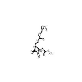 CCSC(=S)S[C@H]1NC(=O)[C@@H]1CCOC(=O)OCC(Cl)(Cl)Cl